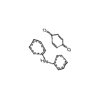 O=C1C=CC(=O)C=C1.c1ccc(Nc2ccccc2)cc1